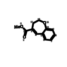 COC(=O)C1=Cc2ccccc2OCC1